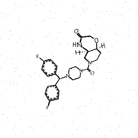 O=C1CO[C@H]2CCN(C(=O)N3CCN(C(c4ccc(F)cc4)c4ccc(F)cc4)CC3)C[C@H]2N1